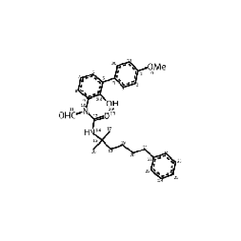 COc1ccc(-c2cccc(N(C=O)C(=O)NC(C)(C)CCCCc3ccccc3)c2O)cc1